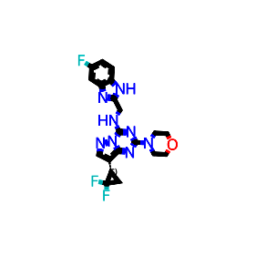 Fc1ccc2[nH]c(CNc3nc(N4CCOCC4)nc4c([C@@H]5CC5(F)F)cnn34)nc2c1